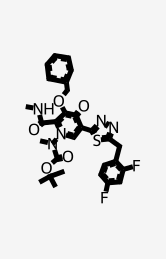 CNC(=O)c1c(OCc2ccccc2)c(=O)c(-c2nnc(Cc3ccc(F)cc3F)s2)cn1N(C)C(=O)OC(C)(C)C